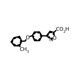 Cc1ccccc1COc1ccc(-c2cc(C(=O)O)on2)cc1